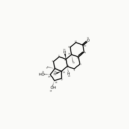 C[C@]12CC[C@H]3[C@@H](CCC4=CC(=O)CC[C@@]43C)[C@@H]1C[C@H](O)[C@@H]2O